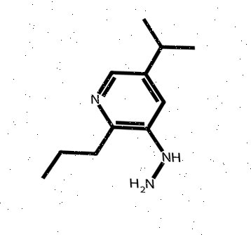 CCCc1ncc(C(C)C)cc1NN